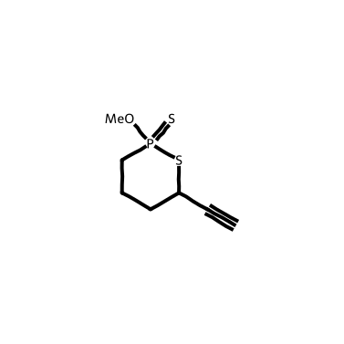 C#CC1CCCP(=S)(OC)S1